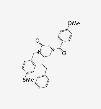 COc1ccc(C(=O)N2CC(=O)N(Cc3ccc(SC)cc3)[C@@H](CCc3ccccc3)C2)cc1